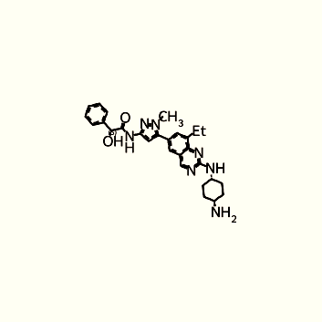 CCc1cc(-c2cc(NC(=O)[C@@H](O)c3ccccc3)nn2C)cc2cnc(N[C@H]3CC[C@H](N)CC3)nc12